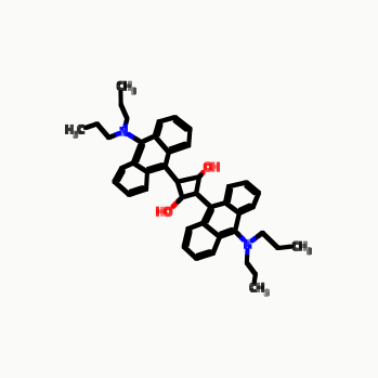 CCCN(CCC)c1c2ccccc2c(C2C(O)C(c3c4ccccc4c(N(CCC)CCC)c4ccccc34)C2O)c2ccccc12